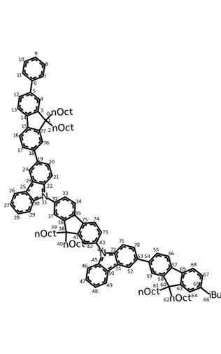 CCCCCCCCC1(CCCCCCCC)c2cc(-c3ccccc3)ccc2-c2ccc(-c3ccc4c(c3)c3ccccc3n4-c3ccc4c(c3)C(CCCCCCCC)(CCCCCCCC)c3cc(-n5c6ccccc6c6cc(-c7ccc8c(c7)C(CCCCCCCC)(CCCCCCCC)c7cc(C(C)CC)ccc7-8)ccc65)ccc3-4)cc21